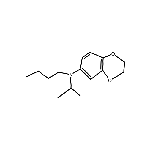 CCCCN(c1ccc2c(c1)OCCO2)C(C)C